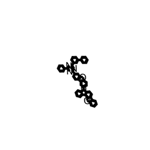 c1ccc(-c2cccc(-c3nc(-c4ccccc4)nc(-c4ccc5c(c4)oc4ccc(-n6c7ccccc7c7c8oc9ccccc9c8ccc76)cc45)n3)c2)cc1